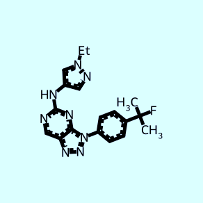 CCn1cc(Nc2ncc3nnn(-c4ccc(C(C)(C)F)cc4)c3n2)cn1